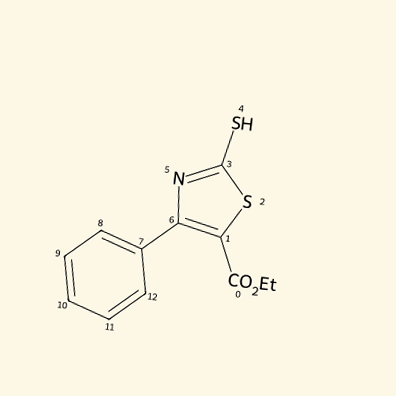 CCOC(=O)c1sc(S)nc1-c1ccccc1